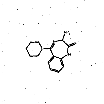 NC1N=C(N2CCCCC2)c2ccccc2NC1=O